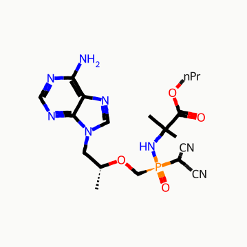 CCCOC(=O)C(C)(C)N[P@](=O)(CO[C@H](C)Cn1cnc2c(N)ncnc21)C(C#N)C#N